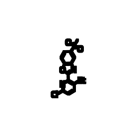 CCc1ccc(Cl)nc1-c1nc2cc(S(C)(=O)=O)ccc2o1